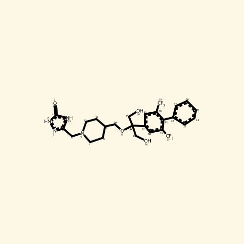 O=c1[nH]nc(CN2CCC(COC(CO)(CO)c3cc(C(F)(F)F)c(-c4ccccc4)c(C(F)(F)F)c3)CC2)[nH]1